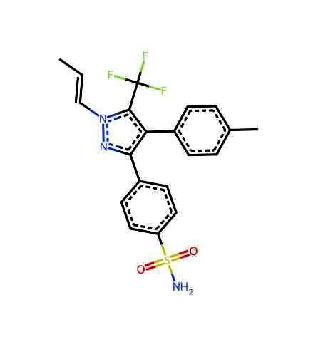 CC=Cn1nc(-c2ccc(S(N)(=O)=O)cc2)c(-c2ccc(C)cc2)c1C(F)(F)F